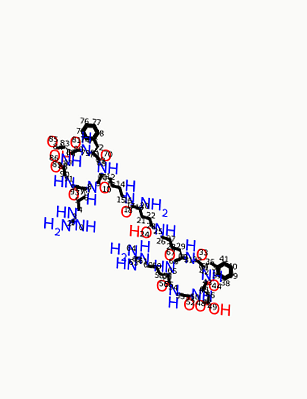 N=C(N)NCCC[C@H]1NC(=O)[C@@H](CCCCNC(=O)C(N)CCC(O)NCCCC[C@H]2NC(=O)[C@H](Cc3ccccc3)NC(=O)[C@@H](CC(=O)O)NC(=O)CNC(=O)[C@@H](CCCNC(=N)N)NC2=O)NC(=O)[C@H](Cc2ccccc2)NC(=O)[C@@H](CC(=O)O)NC(=O)CNC1=O